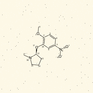 COc1ccc([N+](=O)[O-])cc1O[C@H]1CCCN1C